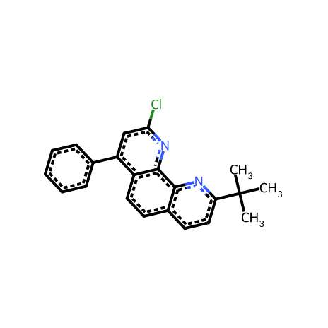 CC(C)(C)c1ccc2ccc3c(-c4ccccc4)cc(Cl)nc3c2n1